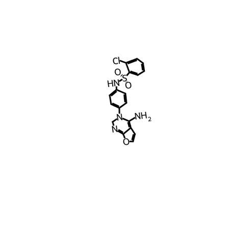 NC1=c2ccoc2=NCN1c1ccc(NS(=O)(=O)c2ccccc2Cl)cc1